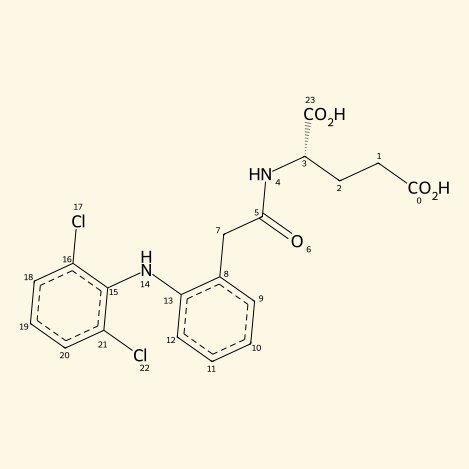 O=C(O)CC[C@H](NC(=O)Cc1ccccc1Nc1c(Cl)cccc1Cl)C(=O)O